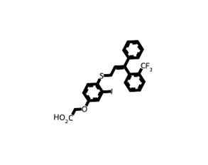 O=C(O)COc1ccc(SC/C=C(/c2ccccc2)c2ccccc2C(F)(F)F)c(I)c1